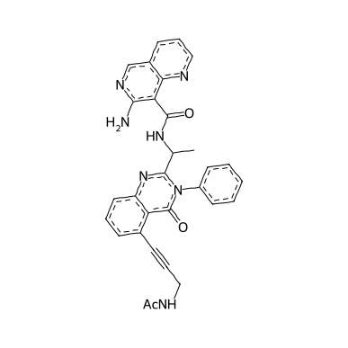 CC(=O)NCC#Cc1cccc2nc(C(C)NC(=O)c3c(N)ncc4cccnc34)n(-c3ccccc3)c(=O)c12